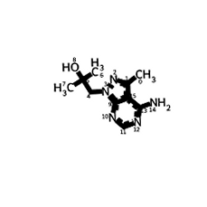 Cc1nn(CC(C)(C)O)c2ncnc(N)c12